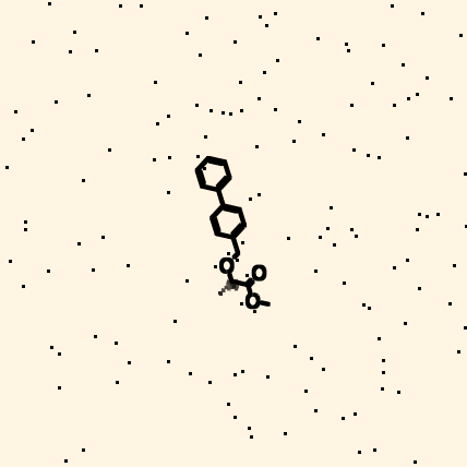 COC(=O)[C@H](C)OCc1ccc(-c2ccccc2)cc1